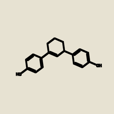 Oc1ccc(C2=CC(c3ccc(O)cc3)CCC2)cc1